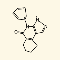 Cn1ncc2c3c(c(=O)n(-c4ccccc4)c21)CCCC3